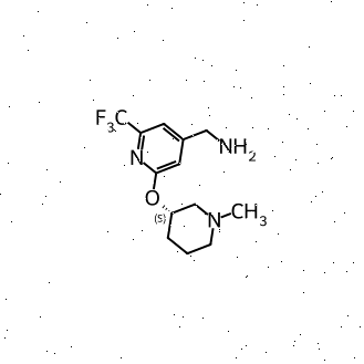 CN1CCC[C@H](Oc2cc(CN)cc(C(F)(F)F)n2)C1